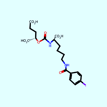 O=C(O)CC[C@H](OC(=O)N[C@@H](CCCCNC(=O)c1ccc(I)cc1)C(=O)O)C(=O)O